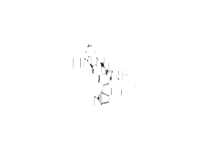 CCc1ccncc1-c1cc(N)c2nnc(NC3CCOC3)cc2c1